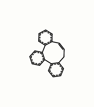 C1=Cc2ccccc2-c2ccccc2-c2ccccc2C1